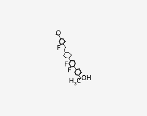 CC(O)c1ccc(-c2ccc(C3CCC(CCc4ccc(C5CO5)cc4F)CC3)c(F)c2F)cc1